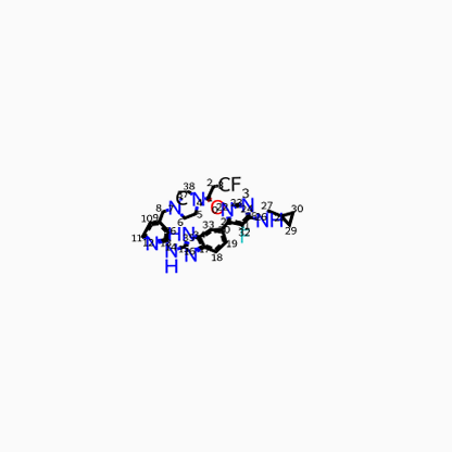 O=C(CC(F)(F)F)N1CCN(Cc2ccnc(Nc3nc4ccc(-c5ncnc(NCC6CC6)c5F)cc4[nH]3)c2)CC1